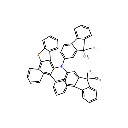 CC1(C)c2ccccc2-c2ccc(N(c3ccc4c(c3)C(C)(C)c3ccccc3-4)c3c(-c4ccccc4)c4ccccc4c4sc5ccccc5c34)cc21